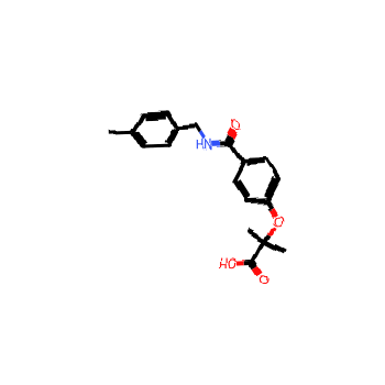 Cc1ccc(CNC(=O)c2ccc(OC(C)(C)C(=O)O)cc2)cc1